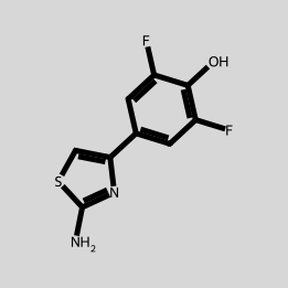 Nc1nc(-c2cc(F)c(O)c(F)c2)cs1